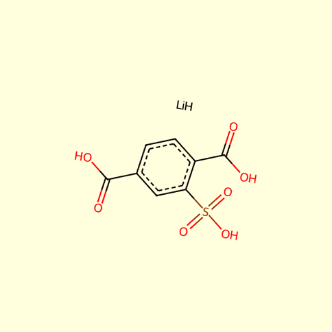 O=C(O)c1ccc(C(=O)O)c(S(=O)(=O)O)c1.[LiH]